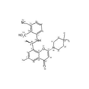 Cc1cc([C@@H](C)Nc2cccc(C#N)c2C(=O)O)c2oc(N3CCC(C)(C)CC3)cc(=O)c2c1